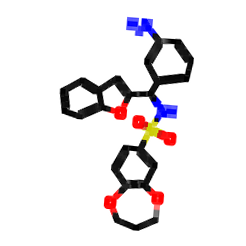 Nc1cccc([C@@H](NS(=O)(=O)c2ccc3c(c2)OCCCO3)c2cc3ccccc3o2)c1